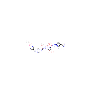 Cc1ncsc1-c1ccc(C(C)NC(=O)[C@@H]2C[C@@H](O)CN2C(=O)C(NC(=O)CN2CCN(CC3CCN(C(=O)OC(C)(C)C)CC3)CC2)C(C)(C)C)cc1